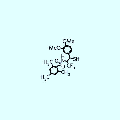 COc1ccc(C(S)C(NS(=O)(=O)c2c(C)cc(C)cc2C)C(F)(F)F)cc1OC